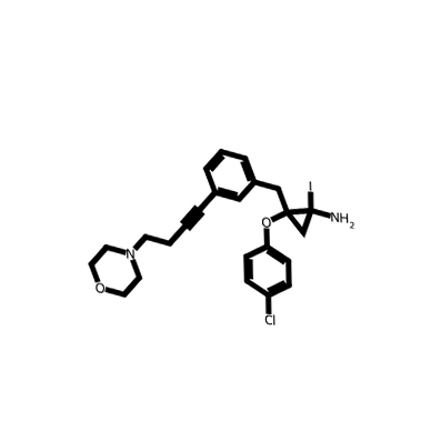 NC1(I)CC1(Cc1cccc(C#CCCN2CCOCC2)c1)Oc1ccc(Cl)cc1